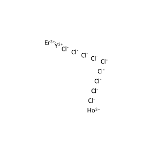 [Cl-].[Cl-].[Cl-].[Cl-].[Cl-].[Cl-].[Cl-].[Cl-].[Cl-].[Er+3].[Ho+3].[Y+3]